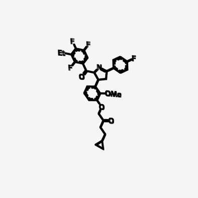 CCc1c(F)c(F)cc(C(=O)C2N=C(c3ccc(F)cc3)CC2c2cccc(OCC(=O)CCC3CC3)c2OC)c1F